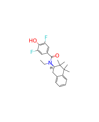 CCN(C(=O)c1cc(F)c(O)c(F)c1)[C@@H]1Cc2ccccc2C(C)(C)C1(C)C